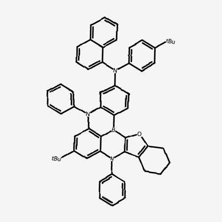 CC(C)(C)c1ccc(N(c2ccc3c(c2)N(c2ccccc2)c2cc(C(C)(C)C)cc4c2B3c2oc3c(c2N4c2ccccc2)CCCC3)c2cccc3ccccc23)cc1